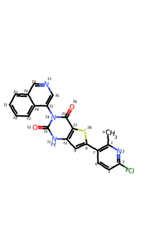 Cc1nc(Cl)ccc1-c1cc2[nH]c(=O)n(-c3cncc4ccccc34)c(=O)c2s1